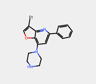 CCc1coc2c(N3CCNCC3)cc(-c3ccccc3)nc12